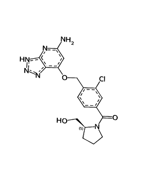 Nc1cc(OCc2ccc(C(=O)N3CCC[C@H]3CO)cc2Cl)c2nn[nH]c2n1